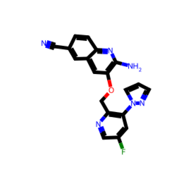 N#Cc1ccc2nc(N)c(OCc3ncc(F)cc3-n3cccn3)cc2c1